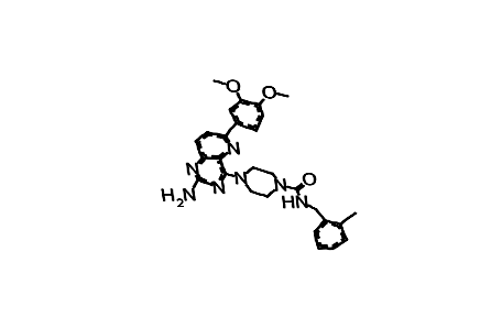 COc1ccc(-c2ccc3nc(N)nc(N4CCN(C(=O)NCc5ccccc5C)CC4)c3n2)cc1OC